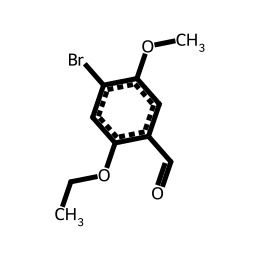 CCOc1cc(Br)c(OC)cc1C=O